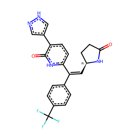 O=C1CC[C@H](C=C(c2ccc(C(F)(F)F)cc2)c2ccc(-c3cn[nH]c3)c(=O)[nH]2)N1